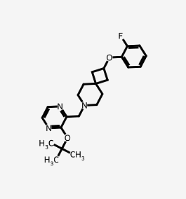 CC(C)(C)Oc1nccnc1CN1CCC2(CC1)CC(Oc1ccccc1F)C2